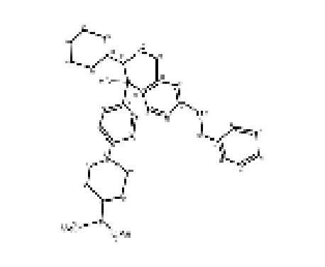 COC(OC)C1CCN(c2ccc(C3(O)c4ccc(OCc5ccccc5)cc4COC3C3CCCCC3)cc2)CC1